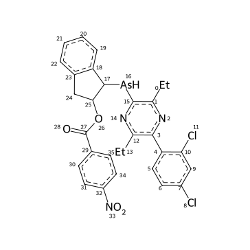 CCc1nc(-c2ccc(Cl)cc2Cl)c(CC)nc1[AsH]C1c2ccccc2CC1OC(=O)c1ccc([N+](=O)[O-])cc1